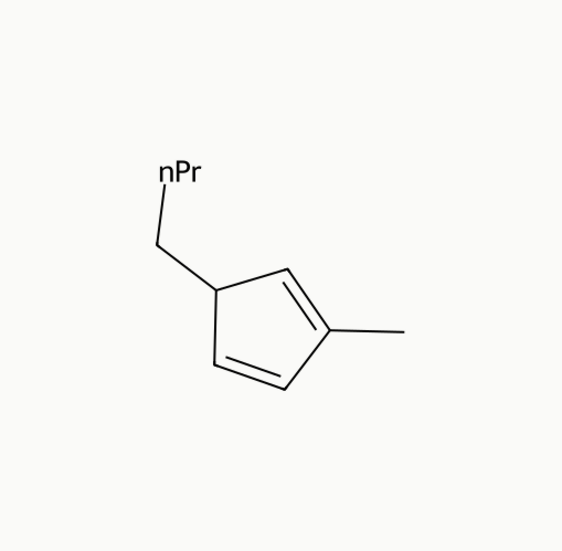 CCCCC1C=CC(C)=C1